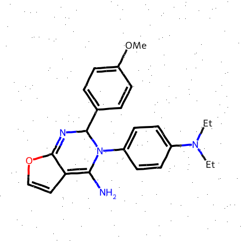 CCN(CC)c1ccc(N2C(N)=c3ccoc3=NC2c2ccc(OC)cc2)cc1